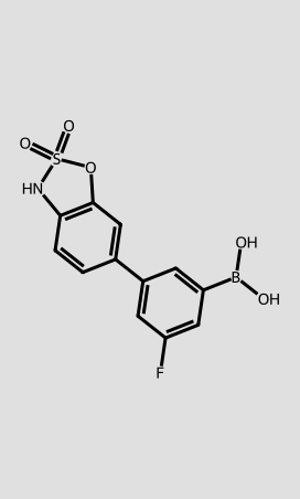 O=S1(=O)Nc2ccc(-c3cc(F)cc(B(O)O)c3)cc2O1